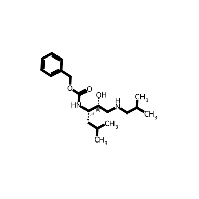 CC(C)CNC[C@@H](O)[C@H](CC(C)C)NC(=O)OCc1ccccc1